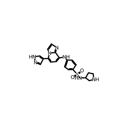 O=S(=O)(NC1CCNC1)c1ccc(Nc2ccc(-c3cn[nH]c3)n3ccnc23)cc1